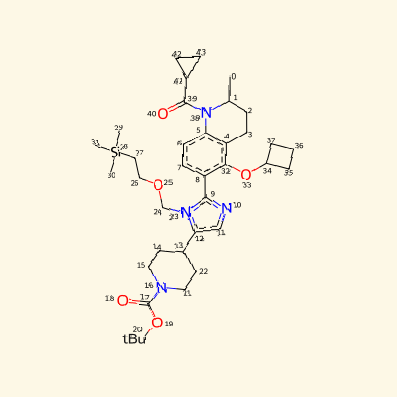 CC1CCc2c(ccc(-c3ncc(C4CCN(C(=O)OC(C)(C)C)CC4)n3COCC[Si](C)(C)C)c2OC2CCC2)N1C(=O)C1CC1